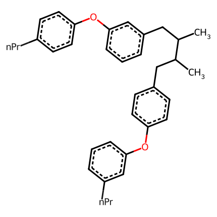 CCCc1ccc(Oc2cccc(CC(C)C(C)Cc3ccc(Oc4cccc(CCC)c4)cc3)c2)cc1